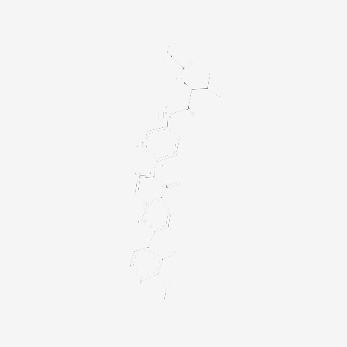 COc1cccc(-c2ccc3c(=O)n(-c4ccc(NC(=O)[C@@H](OC(N)=O)C(C)C)cn4)ncc3c2)c1C